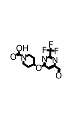 O=Cc1cc(OC2CCN(C(=O)O)CC2)nc(C(F)(F)F)n1